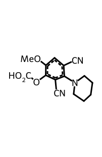 COc1cc(C#N)c(N2CCCCC2)c(C#N)c1OC(=O)O